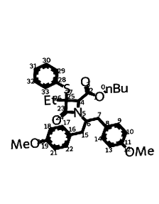 CCCCOC(=O)C1N(C(Cc2ccc(OC)cc2)Cc2ccc(OC)cc2)C(=O)C1(CC)Sc1ccccc1